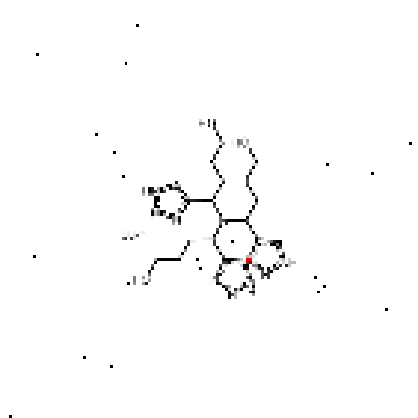 OCCCC(c1c[nH]nn1)N(C(CCCO)c1c[nH]nn1)C(CCCO)c1c[nH]nn1.[Cu+2]